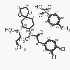 C=CCN(C)[C@@H]1CC2(CC[C@H]1N(C)C(=O)Cc1ccc(Cl)c(Cl)c1)OCCO2.Cc1ccc(S(=O)(=O)O)cc1